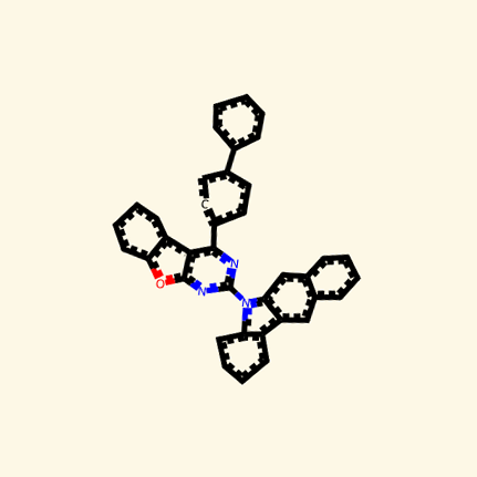 c1ccc(-c2ccc(-c3nc(-n4c5ccccc5c5cc6ccccc6cc54)nc4oc5ccccc5c34)cc2)cc1